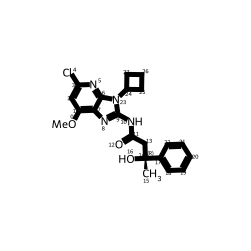 COc1cc(Cl)nc2c1nc(NC(=O)C[C@@](C)(O)c1ccccc1)n2C1CCC1